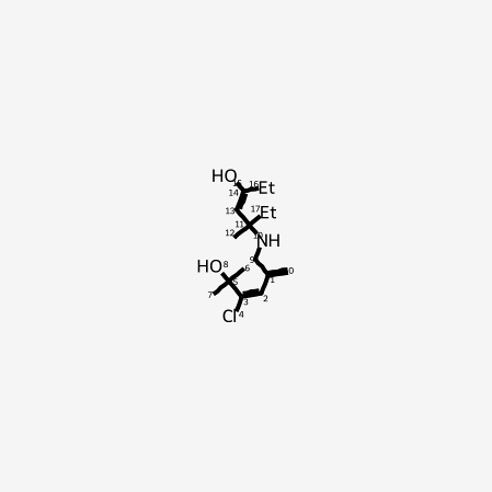 C=C(/C=C(/Cl)C(C)(C)O)CNC(C)(/C=C(/O)CC)CC